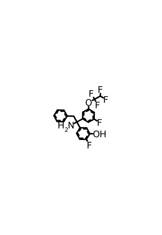 NC(Cc1ccccc1)(c1cc(F)cc(OC(F)(F)C(F)F)c1)c1ccc(F)c(O)c1